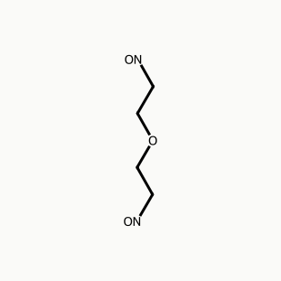 O=NCCOCCN=O